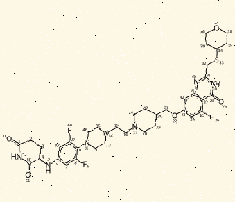 O=C1CCC(Nc2cc(F)c(N3CCN(CCN4CCC(COc5cc(F)c6c(=O)[nH]c(CSC7CCOCC7)nc6c5)CC4)CC3)c(F)c2)C(=O)N1